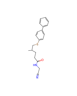 CC(CCC(=O)NCC#N)CSc1ccc(-c2ccccc2)cc1